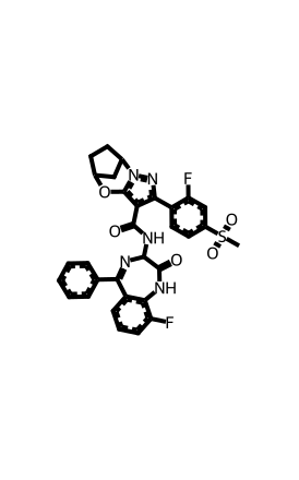 CS(=O)(=O)c1ccc(-c2nn3c(c2C(=O)NC2N=C(c4ccccc4)c4cccc(F)c4NC2=O)OC2CCC3C2)c(F)c1